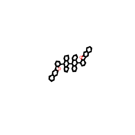 c1ccc2cc3c(cc2c1)oc1c(-c2c4ccccc4c(-c4c5ccccc5c(-c5cccc6c5oc5cc7ccccc7cc56)c5ccccc45)c4ccccc24)cccc13